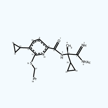 CC(=O)NC(=N)[C@@](C)(NC(=O)c1ccc(C2CC2)c(SCC(C)C)n1)C1CC1